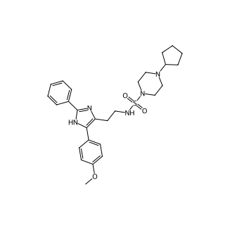 COc1ccc(-c2[nH]c(-c3ccccc3)nc2CCNS(=O)(=O)N2CCN(C3CCCC3)CC2)cc1